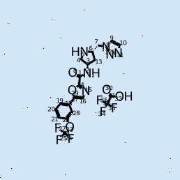 O=C(N[C@H]1CN[C@H](Cn2ccnn2)C1)c1ncc(-c2cccc(OC(F)(F)F)c2)o1.O=C(O)C(F)(F)F